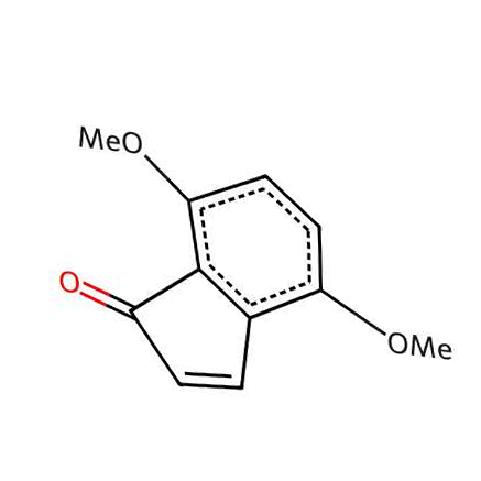 COc1ccc(OC)c2c1C=CC2=O